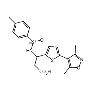 Cc1ccc([S@@+]([O-])NC(CC(=O)O)c2ccc(-c3c(C)noc3C)s2)cc1